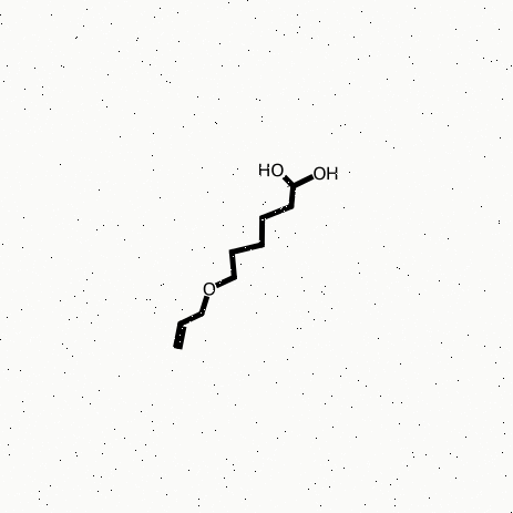 C=CCOCCCCC[C](O)O